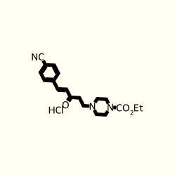 CCOC(=O)N1CCN(CCC(=O)C=Cc2ccc(C#N)cc2)CC1.Cl